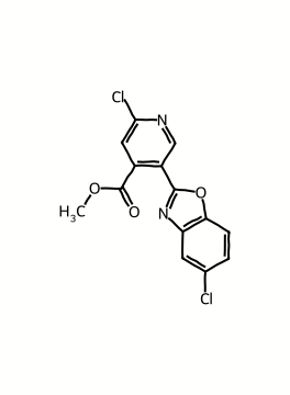 COC(=O)c1cc(Cl)ncc1-c1nc2cc(Cl)ccc2o1